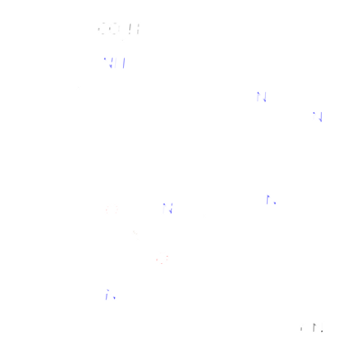 CC(CCCCN(C1Cc2cc(C#N)ccc2N(Cc2cncn2C)C1)S(=O)(=O)c1ccccn1)NC(=O)O